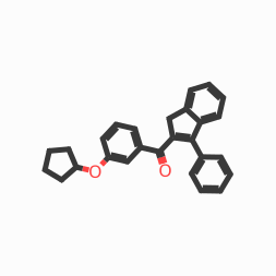 O=C(C1=C(c2ccccc2)c2ccccc2C1)c1cccc(OC2CCCC2)c1